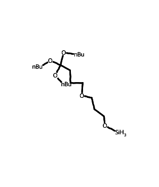 CCCCOC(CCCOCCCO[SiH3])(OCCCC)OCCCC